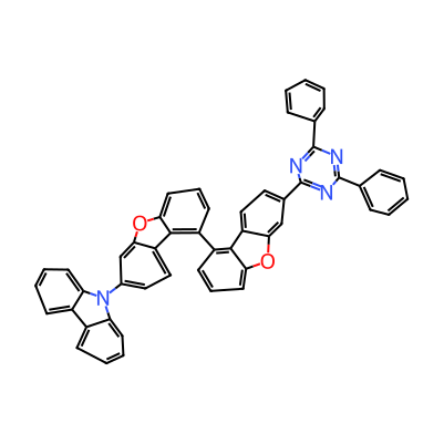 c1ccc(-c2nc(-c3ccccc3)nc(-c3ccc4c(c3)oc3cccc(-c5cccc6oc7cc(-n8c9ccccc9c9ccccc98)ccc7c56)c34)n2)cc1